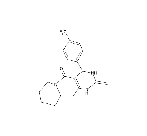 C=C1NC(C)=C(C(=O)N2CCCCC2)C(c2ccc(C(F)(F)F)cc2)N1